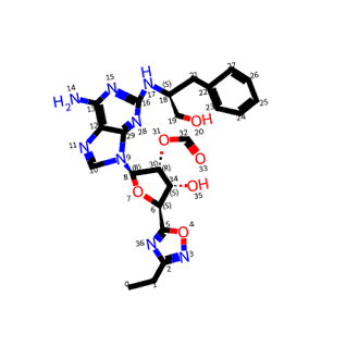 CCc1noc([C@H]2O[C@@H](n3cnc4c(N)nc(N[C@H](CO)Cc5ccccc5)nc43)[C@H](OC=O)[C@@H]2O)n1